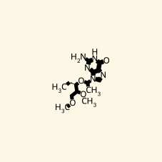 CC[C@H](OC(C)n1cnc2c(=O)[nH]c(N)nc21)C(COC)OC